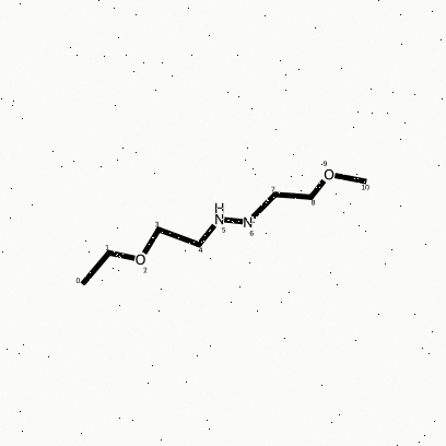 CCOCCN[N]CCOC